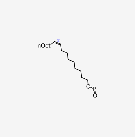 CCCCCCCC/C=C\CCCCCCCCOP=O